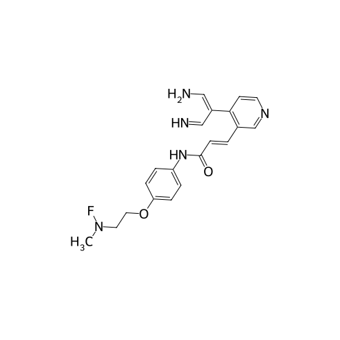 CN(F)CCOc1ccc(NC(=O)/C=C/c2cnccc2/C(C=N)=C/N)cc1